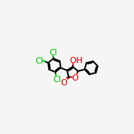 O=C1OC(c2ccccc2)C(O)=C1c1cc(Cl)c(Cl)cc1Cl